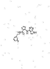 O=C(NCCc1cccc(F)c1)c1sccc1Nc1ncnc2[nH]ccc12